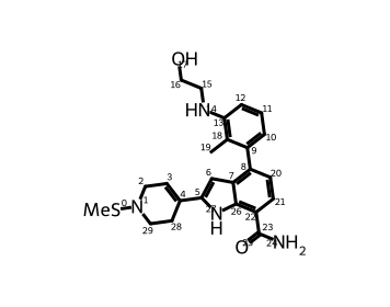 CSN1CC=C(c2cc3c(-c4cccc(NCCO)c4C)ccc(C(N)=O)c3[nH]2)CC1